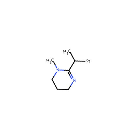 CC(C)C(C)C1=NCCCN1C